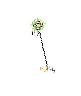 CCCCCCCCCCCCCCCCCCCCCCCCCCCC[PH2+]C.Fc1c(F)c(F)c([B-](c2c(F)c(F)c(F)c(F)c2F)(c2c(F)c(F)c(F)c(F)c2F)c2c(F)c(F)c(F)c(F)c2F)c(F)c1F